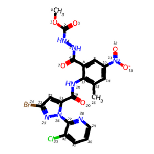 COC(=O)NNC(=O)c1cc([N+](=O)[O-])cc(C)c1NC(=O)c1cc(Br)nn1-c1ncccc1Cl